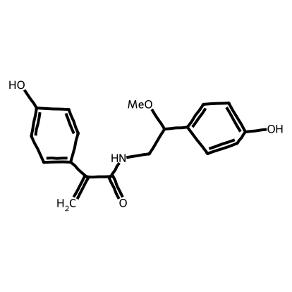 C=C(C(=O)NCC(OC)c1ccc(O)cc1)c1ccc(O)cc1